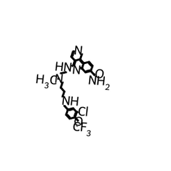 CN(CCCCNCc1ccc(OC(F)(F)F)c(Cl)c1)CCNc1nc2cc(C(N)=O)ccc2c2cnccc12